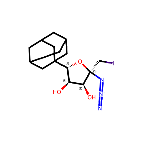 [N-]=[N+]=N[C@]1(CI)O[C@@H](C23CC4CC(CC(C4)C2)C3)[C@H](O)[C@@H]1O